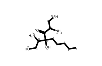 CCCCCC(O)(C(=O)C(N)CS)C(N)CO